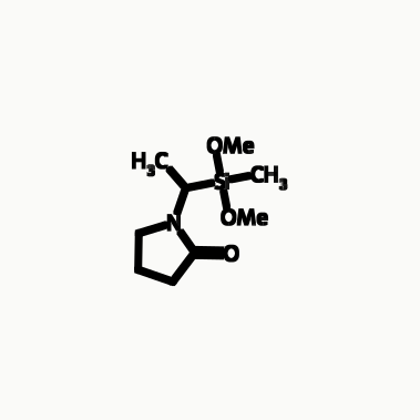 CO[Si](C)(OC)C(C)N1CCCC1=O